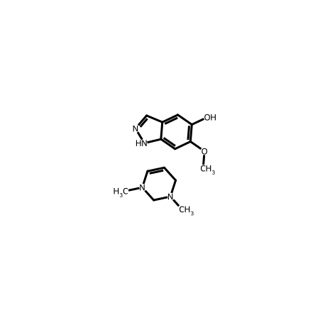 CN1C=CCN(C)C1.COc1cc2[nH]ncc2cc1O